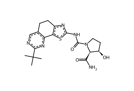 CC(C)(C)c1ncc2c(n1)-c1sc(NC(=O)N3CC[C@@H](O)[C@H]3C(N)=O)nc1CC2